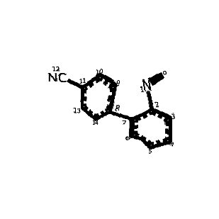 C=Nc1ccccc1-c1ccc(C#N)cc1